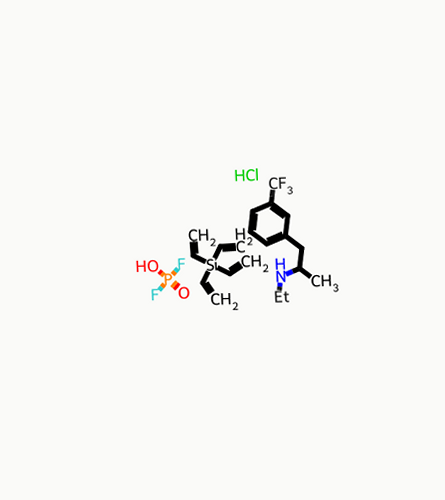 C=C[Si](C=C)(C=C)C=C.CCNC(C)Cc1cccc(C(F)(F)F)c1.Cl.O=P(O)(F)F